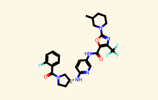 CC1CCCN(c2nc(C(F)(F)F)c(C(=O)Nc3ccc(N[C@@H]4CCN(C(=O)c5ccccc5F)C4)nc3)o2)C1